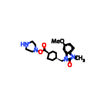 COc1ccc2c(c1)n(C[C@H]1CC[C@H](C(=O)ON3CCNCC3)CC1)c(=O)n2C